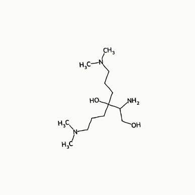 CN(C)CCCC(O)(CCCN(C)C)C(N)CO